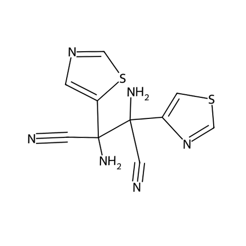 N#CC(N)(c1cscn1)C(N)(C#N)c1cncs1